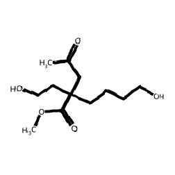 COC(=O)C(CCO)(CCCCO)CC(C)=O